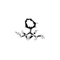 COS(=O)(=O)C(c1ccccc1)S(=O)(=O)OC